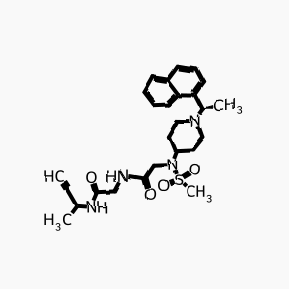 C#CC(C)NC(=O)CNC(=O)CN(C1CCN([C@H](C)c2cccc3ccccc23)CC1)S(C)(=O)=O